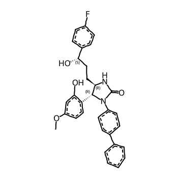 COc1ccc([C@@H]2[C@@H](CC[C@H](O)c3ccc(F)cc3)NC(=O)N2c2ccc(-c3ccccc3)cc2)c(O)c1